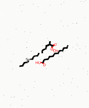 CCCC=C(C)C(=O)OO.CCCCCCCCCCCC(=O)O.CCC[CH2][Sn][CH2]CCC